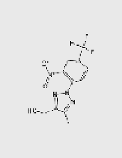 Cc1nn(-c2ccc(C(F)(F)F)cc2[N+](=O)[O-])nc1CO